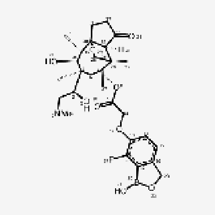 CNC[C@H](O)[C@]1(C)C[C@@H](OC(=O)COc2ccc3c(c2F)B(O)OC3)[C@]2(C)[C@H](C)CC[C@]3(CCC(=O)[C@H]32)[C@@H](C)[C@@H]1O